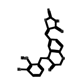 COc1c(CN2C(=O)COc3ccc(C=C4SC(=S)NC4=O)cc32)cccc1C(C)C